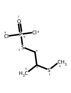 CSC(C)CSP(=O)(Cl)Cl